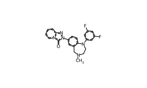 CN1CCN(c2cc(F)cc(F)c2)c2ccc(-n3nc4ccccn4c3=O)cc2C1